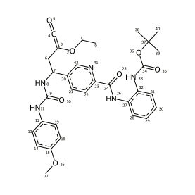 CCOC(=C=O)CC(NC(=O)Nc1ccc(OC)cc1)c1ccc(C(=O)Nc2ccccc2NC(=O)OC(C)(C)C)nc1